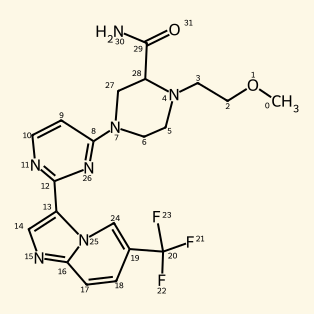 COCCN1CCN(c2ccnc(-c3cnc4ccc(C(F)(F)F)cn34)n2)CC1C(N)=O